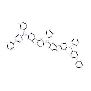 c1ccc(-c2ccc(N(c3ccccc3)c3ccc4c(c3)sc3ccc(N(c5ccccc5)c5ccc6sc7cc(N(c8ccccc8)c8ccc(-c9ccccc9)cc8)ccc7c6c5)cc34)cc2)cc1